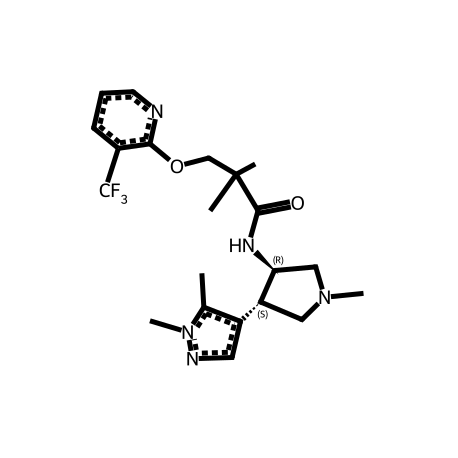 Cc1c([C@H]2CN(C)C[C@@H]2NC(=O)C(C)(C)COc2ncccc2C(F)(F)F)cnn1C